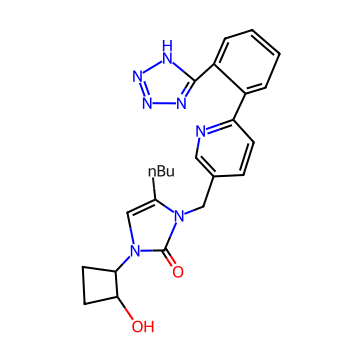 CCCCc1cn(C2CCC2O)c(=O)n1Cc1ccc(-c2ccccc2-c2nnn[nH]2)nc1